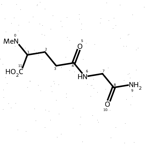 CNC(CCC(=O)NCC(N)=O)C(=O)O